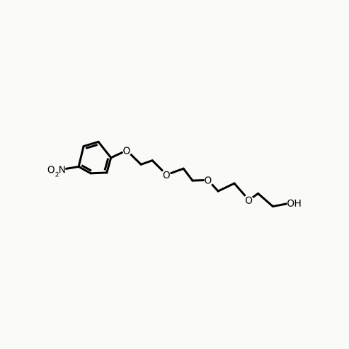 O=[N+]([O-])c1ccc(OCCOCCOCCOCCO)cc1